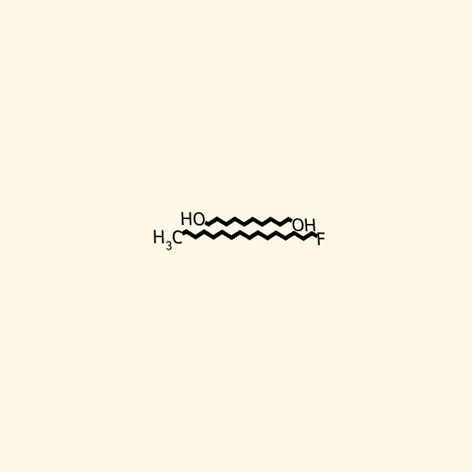 CCCCCCCCCCCCCCCCF.OCCCCCCCCCCO